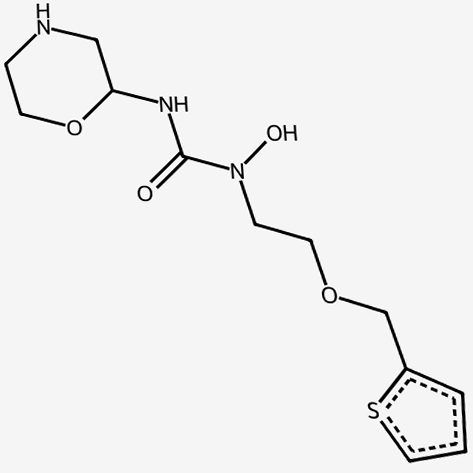 O=C(NC1CNCCO1)N(O)CCOCc1cccs1